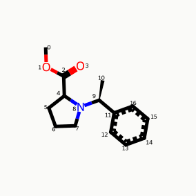 COC(=O)C1CCCN1[C@@H](C)c1ccccc1